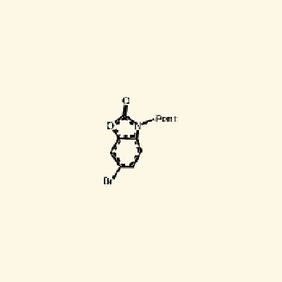 CCCC(C)n1c(=O)oc2cc(Br)ccc21